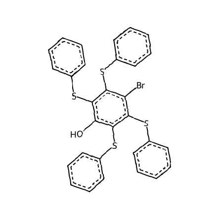 Oc1c(Sc2ccccc2)c(Sc2ccccc2)c(Br)c(Sc2ccccc2)c1Sc1ccccc1